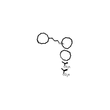 C1CCCCCCCCC1.C1CCCCCCCCC1.C=C(C)C(=O)O.C=C(C)C(=O)O.CCCCCCCCCCCCCC1CCCCCCCCC1